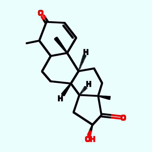 CC1C(=O)C=C[C@@]2(C)C1CC[C@@H]1[C@@H]2CC[C@]2(C)C(=O)[C@@H](O)C[C@@H]12